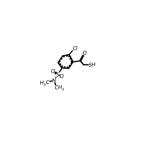 CN(C)S(=O)(=O)c1ccc(Cl)c(C(=O)CS)c1